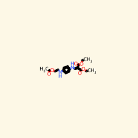 CCOC(=O)C(=CNc1ccc(NCCOC(C)=O)cc1)C(=O)OCC